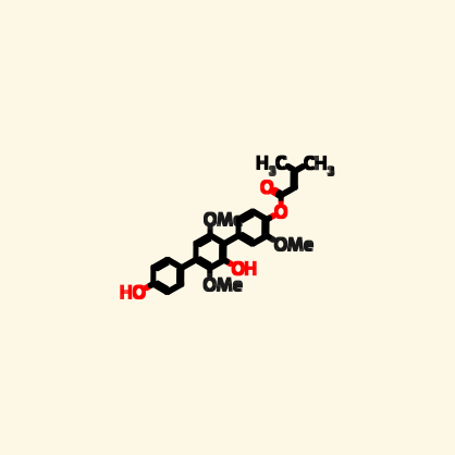 COc1cc(-c2c(OC)cc(-c3ccc(O)cc3)c(OC)c2O)ccc1OC(=O)C=C(C)C